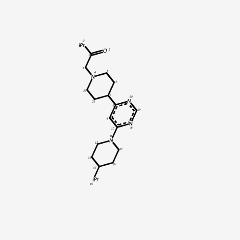 CC(C)C(=O)CN1CCC(c2cc(N3CCC(C(C)C)CC3)ncn2)CC1